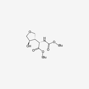 CC(C)(C)OC(=O)N[C@H](C(=O)OC(C)(C)C)[C@H]1COC[C@@H]1O